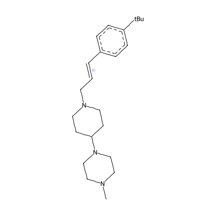 CN1CCN(C2CCN(C/C=C/c3ccc(C(C)(C)C)cc3)CC2)CC1